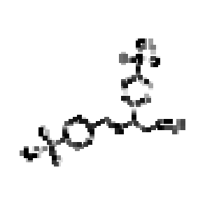 CS(=O)(=O)c1ccc(C=NC(CC(=O)O)c2ccc(S(C)(=O)=O)cc2)cc1